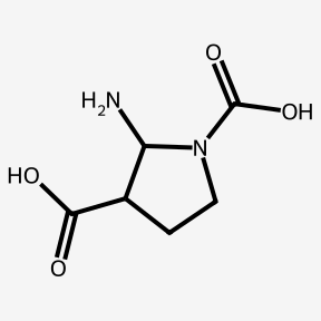 NC1C(C(=O)O)CCN1C(=O)O